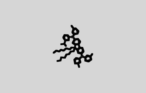 CCCCCCCCC1(CCCCCCCC)c2cc(N(c3cccc(C)c3)c3cccc(C)c3)ccc2-c2ccc(N(c3cccc(C)c3)c3cccc(C(C)C)c3)cc21